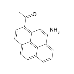 CC(=O)c1ccc2ccc3cccc4ccc1c2c34.N